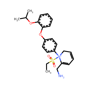 CCS(=O)(=O)[N+]1(c2ccc(Oc3ccccc3OC(C)C)cc2)CC=CC=C1CN